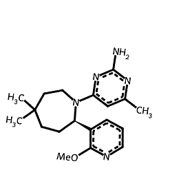 COc1ncccc1[C@H]1CCC(C)(C)CCN1c1cc(C)nc(N)n1